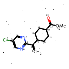 C=C(c1ncc(Cl)cn1)C1CCC(C(=O)OC)CC1